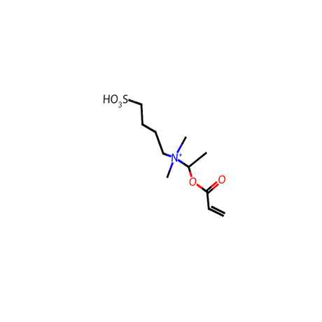 C=CC(=O)OC(C)[N+](C)(C)CCCCS(=O)(=O)O